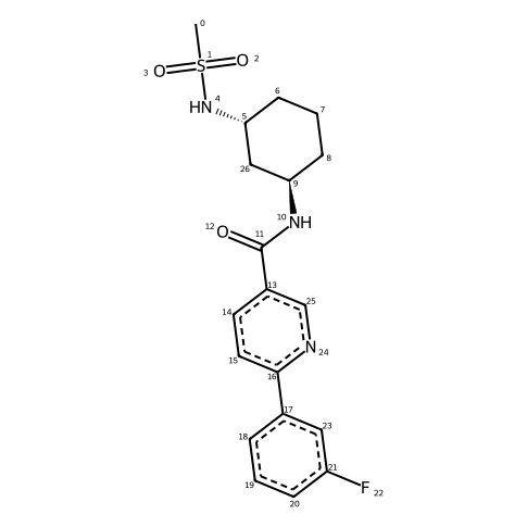 CS(=O)(=O)N[C@@H]1CCC[C@@H](NC(=O)c2ccc(-c3cccc(F)c3)nc2)C1